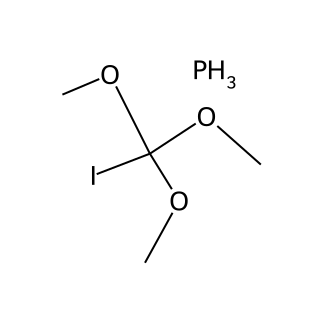 COC(I)(OC)OC.P